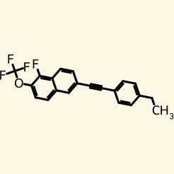 CCc1ccc(C#Cc2ccc3c(F)c(OC(F)(F)F)ccc3c2)cc1